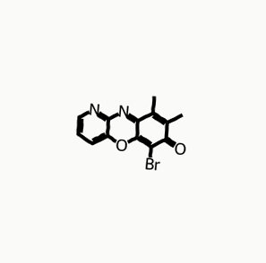 Cc1c2nc3ncccc3oc-2c(Br)c(=O)c1C